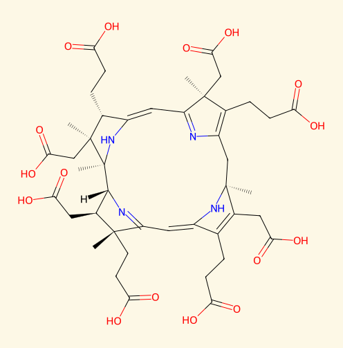 C[C@@]1(CC(=O)O)C2=NC(=C1CCC(=O)O)C[C@]1(C)N/C(=C\C3=N[C@H]([C@H](CC(=O)O)[C@@]3(C)CCC(=O)O)[C@]3(C)N/C(=C\2)[C@@H](CCC(=O)O)[C@]3(C)CC(=O)O)C(CCC(=O)O)=C1CC(=O)O